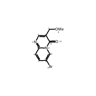 COCc1cnc2ccc(Br)cn2c1=O